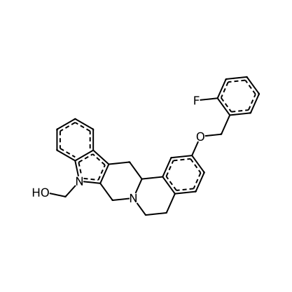 OCn1c2c(c3ccccc31)CC1c3cc(OCc4ccccc4F)ccc3CCN1C2